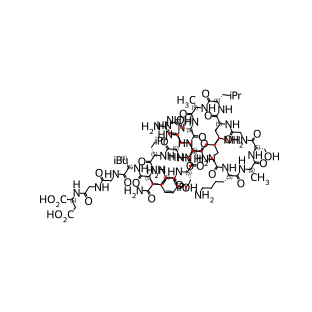 CC[C@H](C)[C@H](NC(=O)[C@H](Cc1ccc(O)cc1)NC(=O)[C@H](CC(C)C)NC(=O)[C@H](Cc1c[nH]cn1)NC(=O)[C@H](CCCCN)NC(=O)[C@H](CO)NC(=O)[C@H](C)NC(=O)[C@H](CC(C)C)NC(=O)[C@H](CCCCN)NC(=O)CNC(=O)[C@H](CO)NC(=O)[C@H](C)NC(=O)[C@H](CCCCN)NC(=O)CNC(=O)[C@H](CCCNC(=N)N)NC(=O)[C@H](CC(C)C)NC(=O)[C@@H](N)CCC(N)=O)C(=O)NCC(=O)NCC(=O)N[C@@H](CC(=O)O)C(=O)O